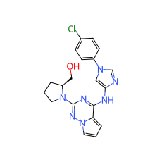 OC[C@@H]1CCCN1c1nc(Nc2cn(-c3ccc(Cl)cc3)cn2)c2cccn2n1